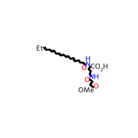 CCC=CCC=CCC=CCC=CCC=CCCCC(=O)NC(CCCNC(=O)C=CC(=O)OC)C(=O)O